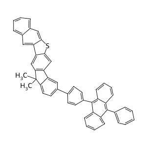 CC1(C)c2ccc(-c3ccc(-c4c5ccccc5c(-c5ccccc5)c5ccccc45)cc3)cc2-c2cc3sc4cc5ccccc5cc4c3cc21